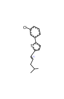 CC(C)C/C=C/c1ccc(-c2cccc(Cl)c2)s1